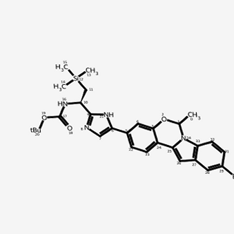 CC1Oc2cc(-c3cnc([C@H](C[Si](C)(C)C)NC(=O)OC(C)(C)C)[nH]3)ccc2-c2cc3cc(Br)ccc3n21